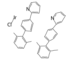 Cc1cccc(C)c1-c1ccc(-c2ccccn2)cc1.Cc1cccc(C)c1-c1ccc(-c2ccccn2)cc1.[Cl][Ir]